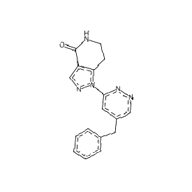 O=C1NCCc2c1cnn2-c1cc(Cc2ccccc2)cnn1